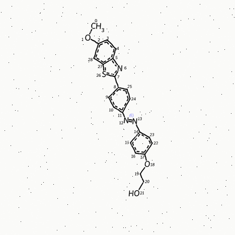 COc1ccc2nc(-c3ccc(/N=N/c4ccc(OCCO)cc4)cc3)sc2c1